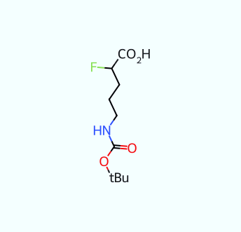 CC(C)(C)OC(=O)NCCCC(F)C(=O)O